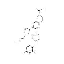 COCN1CC(c2nc3c(nc2N2CCC(Oc4ccc(F)cc4F)CC2)CCN(C(C)=O)C3)C=N1